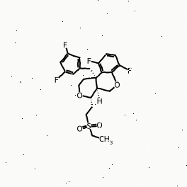 CCS(=O)(=O)CC[C@@H]1OCC[C@@]2(Cc3cc(F)cc(F)c3)c3c(F)ccc(F)c3OC[C@@H]12